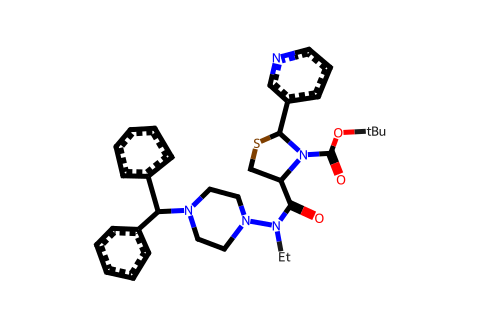 CCN(C(=O)C1CSC(c2cccnc2)N1C(=O)OC(C)(C)C)N1CCN(C(c2ccccc2)c2ccccc2)CC1